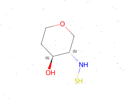 O[C@H]1CCOC[C@@H]1NS